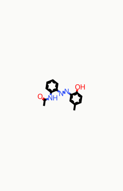 CC(=O)Nc1ccccc1N=Nc1cc(C)ccc1O